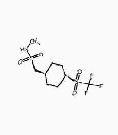 CNS(=O)(=O)C[C@H]1CC[C@@H](S(=O)(=O)C(F)(F)F)CC1